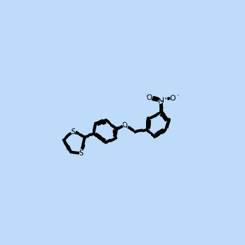 O=[N+]([O-])c1cccc(COc2ccc(C3SCCS3)cc2)c1